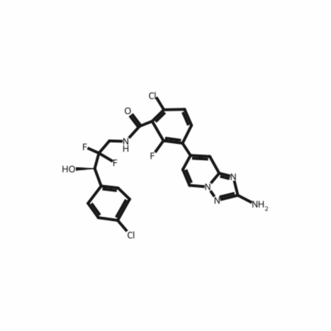 Nc1nc2cc(-c3ccc(Cl)c(C(=O)NCC(F)(F)[C@H](O)c4ccc(Cl)cc4)c3F)ccn2n1